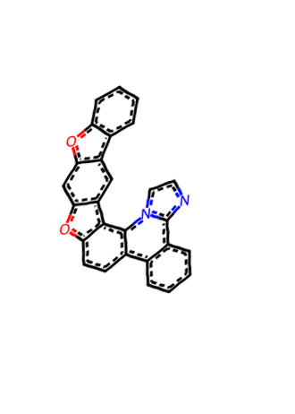 c1ccc2c(c1)oc1cc3oc4ccc5c6ccccc6c6nccn6c5c4c3cc12